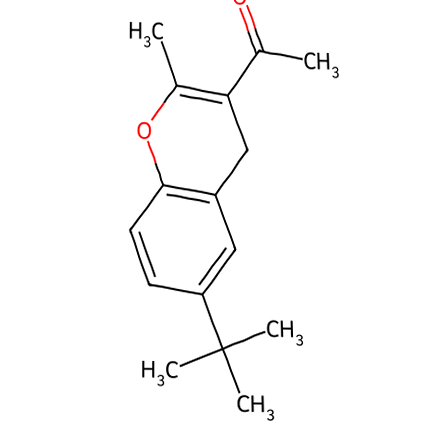 CC(=O)C1=C(C)Oc2ccc(C(C)(C)C)cc2C1